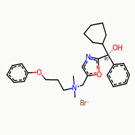 C[N+](C)(CCCOc1ccccc1)Cc1cnc([C@](O)(c2ccccc2)C2CCCCC2)o1.[Br-]